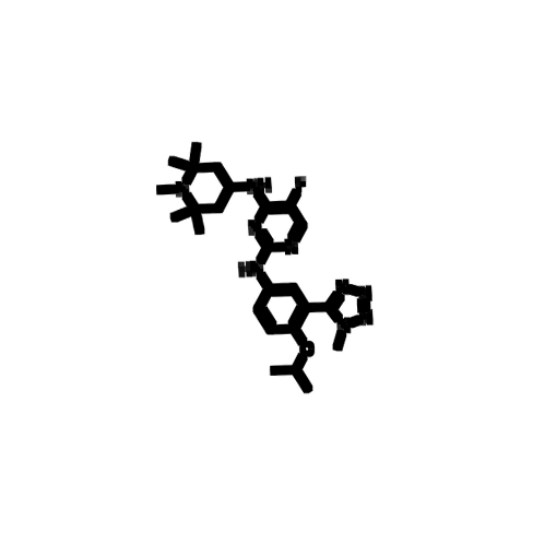 CC(C)Oc1ccc(Nc2ncc(F)c(NC3CC(C)(C)N(C)C(C)(C)C3)n2)cc1-c1nnnn1C